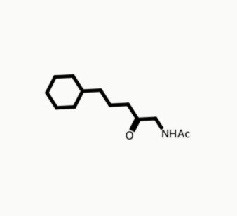 CC(=O)NCC(=O)CCCC1CCCCC1